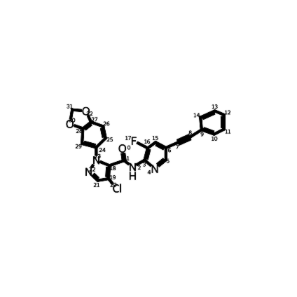 O=C(Nc1ncc(C#Cc2ccccc2)cc1F)c1c(Cl)cnn1-c1ccc2c(c1)OCO2